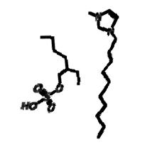 CCCCC(CC)COS(=O)(=O)O.CCCCCCCCCCN1C=CN(C)C1